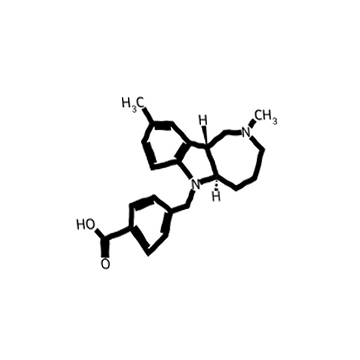 Cc1ccc2c(c1)[C@@H]1CN(C)CCC[C@H]1N2Cc1ccc(C(=O)O)cc1